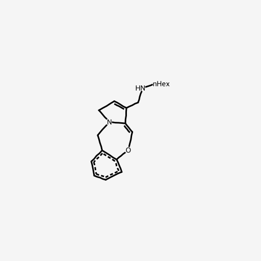 CCCCCCNCC1=CCN2Cc3ccccc3OC=C12